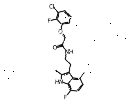 Cc1[nH]c2c(F)ccc(C)c2c1CCNC(=O)COc1cccc(Cl)c1F